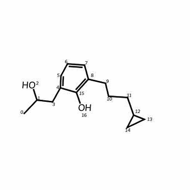 CC(O)Cc1cccc(CCCC2CC2)c1O